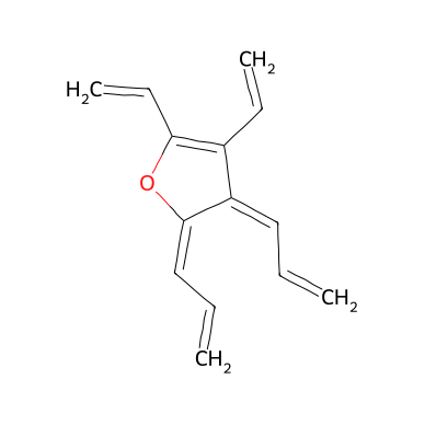 C=C/C=c1/c(C=C)c(C=C)o/c1=C/C=C